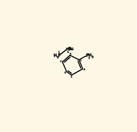 CCCCP.Pc1ccccc1